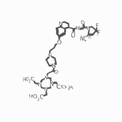 N#C[C@@H]1CC(F)(F)CN1C(=O)CNC(=O)c1ccnc2ccc(OCCCN3CCN(C(=O)CN4CN(CC(=O)O)CN(CC(=O)O)CN(CC(=O)O)C4)CC3)cc12